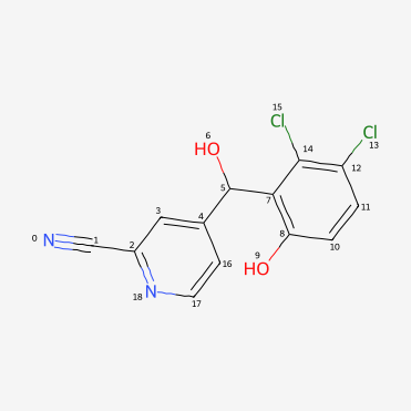 N#Cc1cc(C(O)c2c(O)ccc(Cl)c2Cl)ccn1